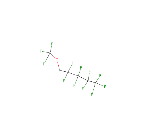 FC(F)(F)OCC(F)(F)C(F)(F)C(F)(F)C(F)(F)F